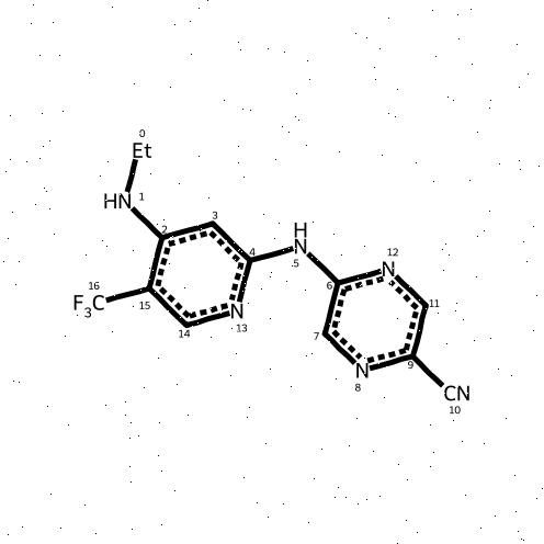 CCNc1cc(Nc2cnc(C#N)cn2)ncc1C(F)(F)F